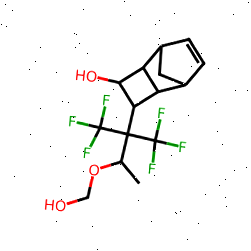 CC(OCO)C(C1C(O)C2C3C=CC(C3)C21)(C(F)(F)F)C(F)(F)F